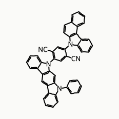 N#Cc1cc(-n2c3ccccc3c3c4ccccc4ccc32)c(C#N)cc1-n1c2ccccc2c2cc3c4ccccc4n(-c4ccccc4)c3cc21